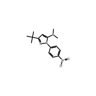 CN(C)c1cc(C(C)(C)C)nn1-c1ccc([N+](=O)[O-])cc1